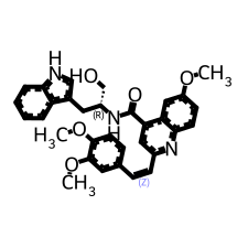 COc1ccc2nc(/C=C\c3ccc(OC)c(OC)c3)cc(C(=O)N[C@@H](CO)Cc3c[nH]c4ccccc34)c2c1